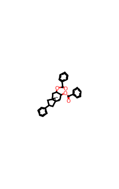 O=C(OC1CC23CCC(C1OC(=O)c1ccccc1)C2CC(c1ccccc1)C3)c1ccccc1